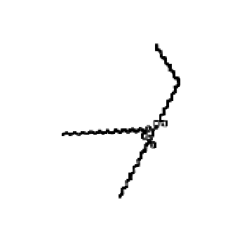 CCCCCCCCCC/C=C\CCCCCCCCCC(=O)OC[C@@H](COC(=O)CCCCCCCCCCCCCCC)OC(=O)CCCCCCCCCCCCCCCCCCCC